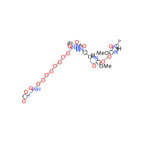 COc1cc2c(cc1OCCCOc1cc3c(cc1OC)C(=O)CCC1C=C(c4ccc(NC(=O)[C@H](C)NC(=O)C(NC(=O)CCOCCOCCOCCOCCOCCOCCOCCOCCNC(=O)CC/C=C5/CC(=O)C=CC5=O)C(C)C)cc4)C[C@H]1/C=N\3)N=C[C@@H]1CC(C3CC3)=CN1C2=O